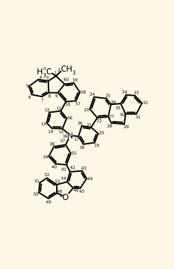 CC1(C)c2ccccc2-c2c(-c3cccc(N(c4cccc(-c5cccc6c5ccc5ccccc56)c4)c4cccc(-c5cccc6oc7ccccc7c56)c4)c3)cccc21